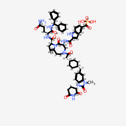 Cn1c(=O)n([C@H]2CCC(=O)NC2=O)c2ccc(C[C@H]3CC[C@@H](CC(=O)N4CC[C@H]5CC[C@@H](C(=O)N[C@@H](CCC(N)=O)C(=O)NC(c6ccccc6)c6ccccc6)N5C(=O)[C@@H](NC(=O)c5cc6cc(C(=O)P(=O)(O)O)ccc6[nH]5)C4)CC3)cc21